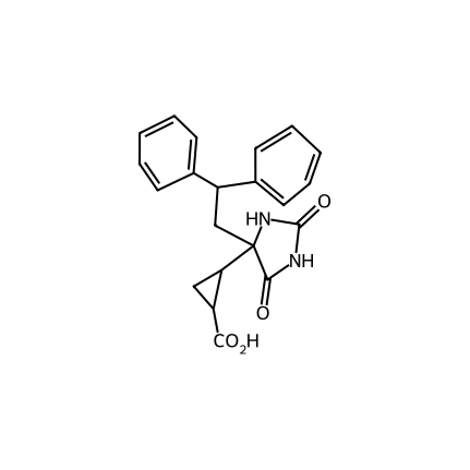 O=C1NC(=O)C(CC(c2ccccc2)c2ccccc2)(C2CC2C(=O)O)N1